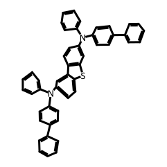 c1ccc(-c2ccc(N(c3ccccc3)c3ccc4c(c3)sc3ccc(N(c5ccccc5)c5ccc(-c6ccccc6)cc5)cc34)cc2)cc1